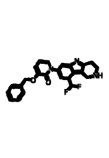 O=c1c(OCc2ccccc2)cccn1C1=CC(C(F)F)C2=C3CNCCC3=NC2=C1